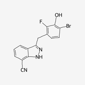 N#Cc1cccc2c(Cc3ccc(Br)c(O)c3F)n[nH]c12